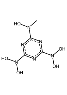 CN(O)c1nc(N(O)O)nc(N(O)O)n1